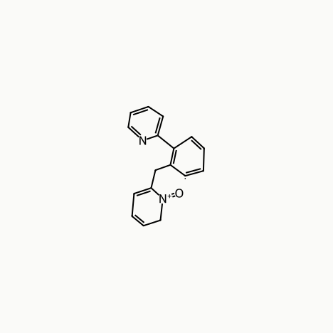 O=[N+]1CC=CC=C1Cc1[c]cccc1-c1ccccn1